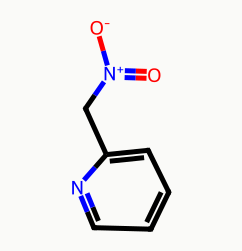 O=[N+]([O-])Cc1ccccn1